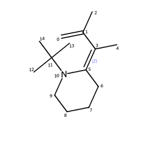 C=C(C)/C(C)=C1/CCCCN1C(C)(C)C